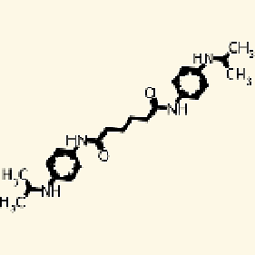 CC(C)Nc1ccc(NC(=O)CCCCC(=O)Nc2ccc(NC(C)C)cc2)cc1